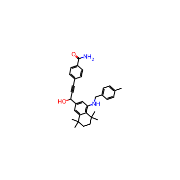 Cc1ccc(CNc2cc(C(O)C#Cc3ccc(C(N)=O)cc3)cc3c2C(C)(C)CCC3(C)C)cc1